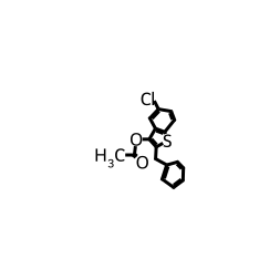 CC(=O)Oc1c(Cc2ccccc2)sc2ccc(Cl)cc12